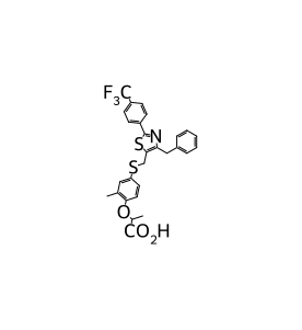 Cc1cc(SCc2sc(-c3ccc(C(F)(F)F)cc3)nc2Cc2ccccc2)ccc1OC(C)C(=O)O